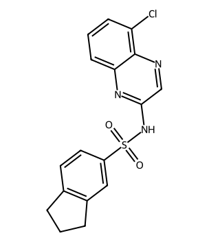 O=S(=O)(Nc1cnc2c(Cl)cccc2n1)c1ccc2c(c1)CCC2